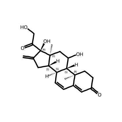 C=C1C[C@H]2[C@@H]3C=CC4=CC(=O)CC[C@]4(C)[C@H]3C(O)C[C@]2(C)[C@@]1(O)C(=O)CO